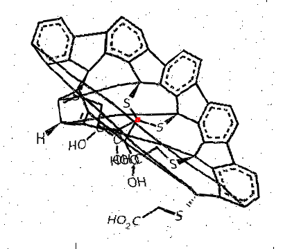 O=C(O)CS[C@]12C3=C4[C@@H]5C6=C3[C@]3(SCCOO)c7c8ccc(c71)-c1ccc7c(c12)[C@@]4(SCC(=O)O)c1c-7ccc2c1[C@@]5(SCCOO)c1c-2ccc2c1[C@@]6(SCCOO)c1c-2ccc-8c13